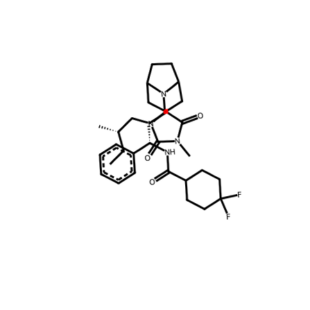 CC[C@H](C)CN1C(=O)N(C)C(=O)C12CC1CCC(C2)N1CC[C@H](NC(=O)C1CCC(F)(F)CC1)c1ccccc1